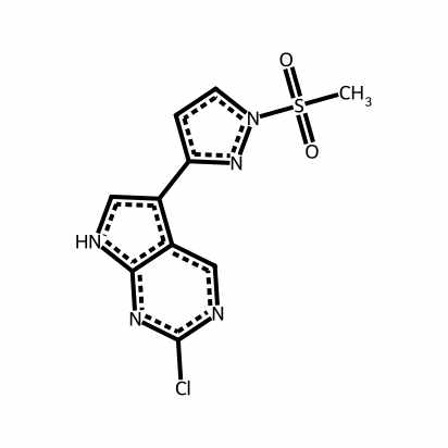 CS(=O)(=O)n1ccc(-c2c[nH]c3nc(Cl)ncc23)n1